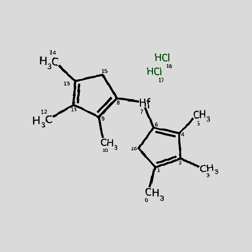 CC1=C(C)C(C)=[C]([Hf][C]2=C(C)C(C)=C(C)C2)C1.Cl.Cl